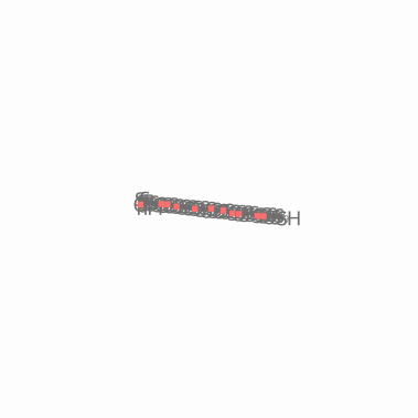 CCCOS(=S)(=S)SSSSSSSSSSSSSSSSSSSSSSSSSSSSSSSSSSSSSSSSSSSSS